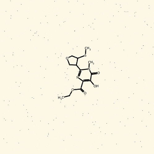 CCOC(=O)c1nc(C2COCC2SC)n(C)c(=O)c1O